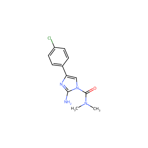 CN(C)C(=O)n1cc(-c2ccc(Cl)cc2)nc1N